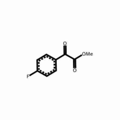 COC(=O)C(=O)c1ccc(F)cc1